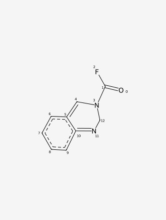 O=C(F)N1C=c2ccccc2=NC1